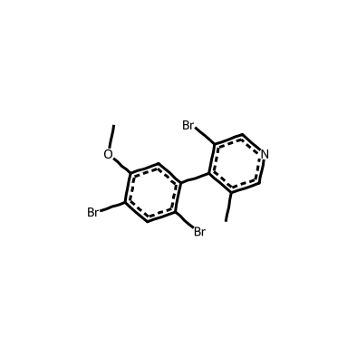 COc1cc(-c2c(C)cncc2Br)c(Br)cc1Br